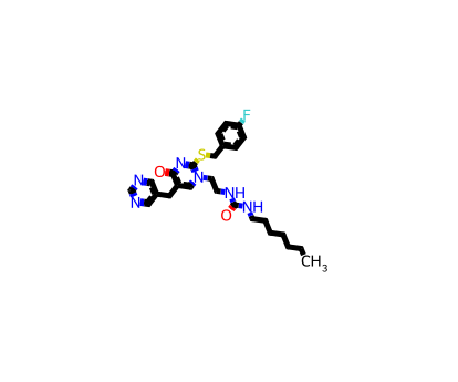 CCCCCCCNC(=O)NCCn1cc(Cc2cncnc2)c(=O)nc1SCc1ccc(F)cc1